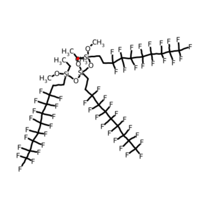 CC[Si](CCC(F)(F)C(F)(F)C(F)(F)C(F)(F)C(F)(F)C(F)(F)C(F)(F)C(F)(F)F)(OC)O[Si](CCC(F)(F)C(F)(F)C(F)(F)C(F)(F)C(F)(F)C(F)(F)C(F)(F)C(F)(F)F)(OC)O[Si](CC)(CCC(F)(F)C(F)(F)C(F)(F)C(F)(F)C(F)(F)C(F)(F)C(F)(F)C(F)(F)F)OC